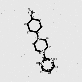 OC1CCC(N2CCN(c3ncccn3)CC2)CC1